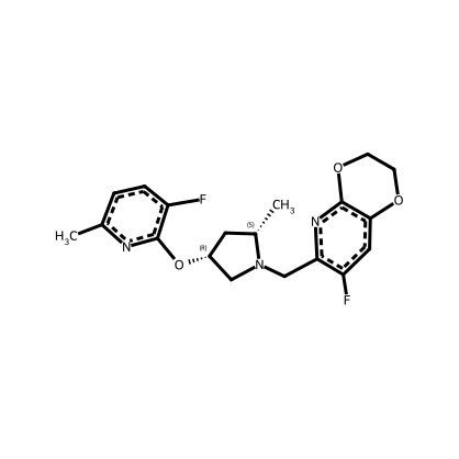 Cc1ccc(F)c(O[C@@H]2C[C@H](C)N(Cc3nc4c(cc3F)OCCO4)C2)n1